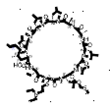 C/C=C/C[C@@H](C)[C@@H](O)[C@H]1C(=O)N[C@@H](CC)C(=O)N(C)[C@H](SCCN(CC)CC)C(=O)N(C)[C@@H](CC(C)(C)OCSC)C(=O)N[C@@H](C(C)C)C(=O)N(C)[C@@H](CC(C)C)C(=O)N[C@@H](C)C(=O)N[C@H](C)C(=O)N(C)[C@@H](CC(C)C)C(=O)N(C)[C@@H](CC(C)C)C(=O)N(C)[C@@H](C(C)C)C(=O)N1C